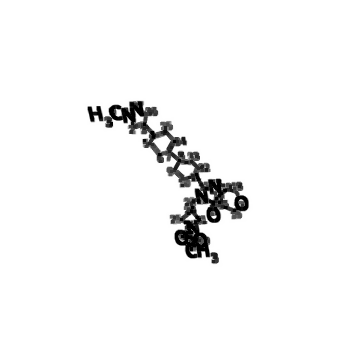 Cn1cc(-c2ccc(-c3ccc(C4=NC5(CCOCC5)C(=O)N4CC4CN(S(C)(=O)=O)C4)cc3)cc2)cn1